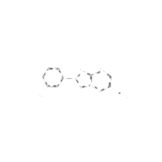 Nc1ccc(F)c(-c2cn3cc(C(F)(F)F)cnc3n2)c1